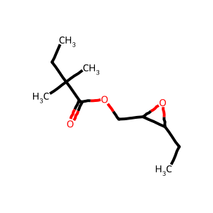 CCC1OC1COC(=O)C(C)(C)CC